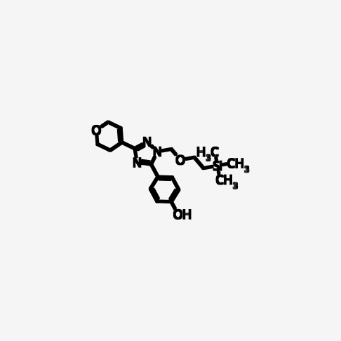 C[Si](C)(C)CCOCn1nc(C2=CCOCC2)nc1-c1ccc(O)cc1